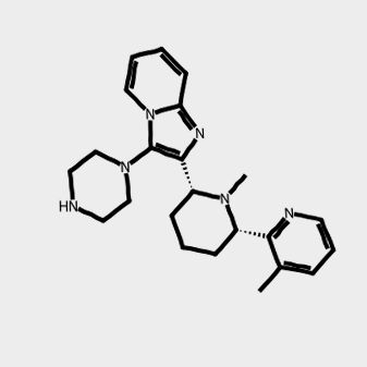 Cc1cccnc1[C@@H]1CCC[C@H](c2nc3ccccn3c2N2CCNCC2)N1C